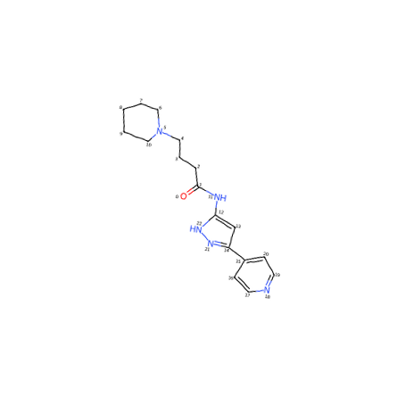 O=C(CCCN1CCCCC1)Nc1cc(-c2ccncc2)n[nH]1